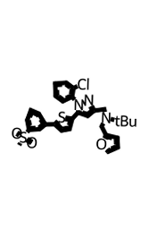 CC(C)(C)N(Cc1cc(-c2ccc(-c3cccc(S(C)(=O)=O)c3)s2)n(-c2ccccc2Cl)n1)Cc1ccco1